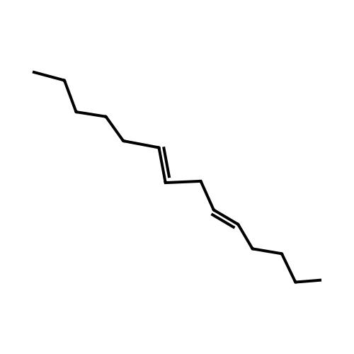 CCCCC=CCC=CCCCCC